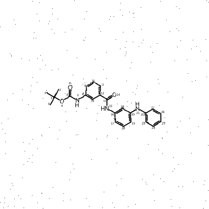 CC(C)(C)OC(=O)Nc1cccc(C(=O)Nc2cccc(Nc3ccccc3)c2)c1